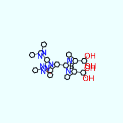 Oc1cc(O)cc(-c2cc3c4c(c2)c2ccccc2n4-c2cc(-c4ccc5c(c4)c4ccccc4n5-c4ccc(-c5nc(-c6ccccc6)cc(-c6ccccc6)n5)cc4-c4nc(-c5ccccc5)nc(-c5ccccc5)n4)cc4c2B3c2cc(-c3cc(O)cc(O)c3)cc3c5ccccc5n-4c23)c1